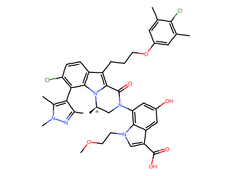 COCCn1cc(C(=O)O)c2cc(O)cc(N3C[C@@H](C)n4c(c(CCCOc5cc(C)c(Cl)c(C)c5)c5ccc(Cl)c(-c6c(C)nn(C)c6C)c54)C3=O)c21